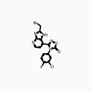 O=c1onc(-c2ccnc3nc(CBr)[nH]c23)n1-c1ccc(F)c(Cl)c1